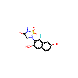 O=C1CN(c2c(O)cc3ccc(O)cc3c2F)S(=O)(=O)N1